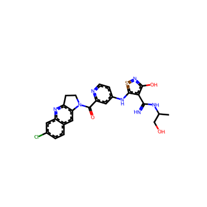 CC(CO)NC(=N)c1c(O)nsc1Nc1ccnc(C(=O)N2CCc3nc4cc(Cl)ccc4cc32)c1